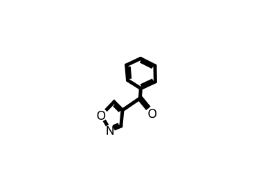 O=C(c1ccccc1)c1cnoc1